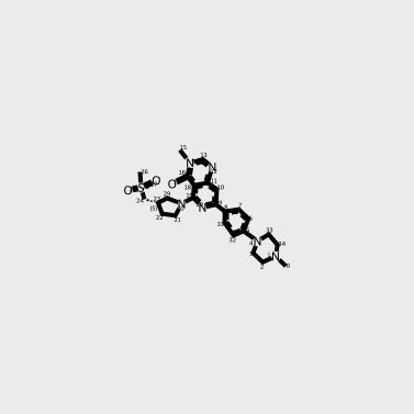 CN1CCN(c2ccc(-c3cc4ncn(C)c(=O)c4c(N4CC[C@H](CS(C)(=O)=O)C4)n3)cc2)CC1